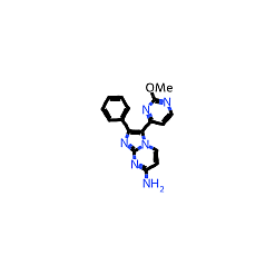 COc1nccc(-c2c(-c3ccccc3)nc3nc(N)ccn23)n1